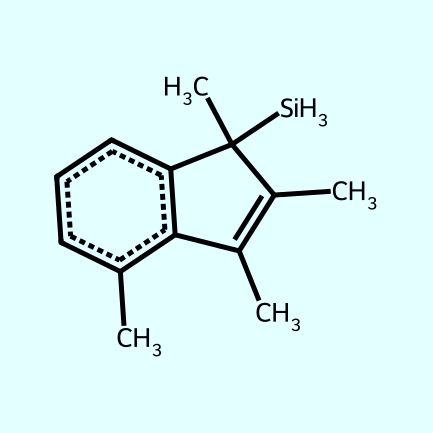 CC1=C(C)C(C)([SiH3])c2cccc(C)c21